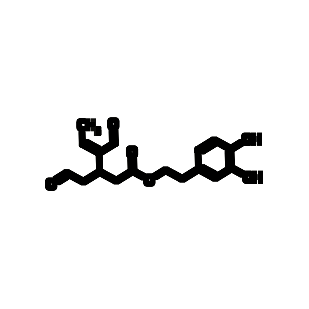 C/C=C(\C=O)C(CC=O)CC(=O)OCCc1ccc(O)c(O)c1